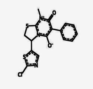 C[n+]1c2n(c([O-])c(-c3ccccc3)c1=O)C(c1cnc(Cl)s1)CS2